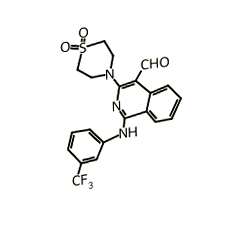 O=Cc1c(N2CCS(=O)(=O)CC2)nc(Nc2cccc(C(F)(F)F)c2)c2ccccc12